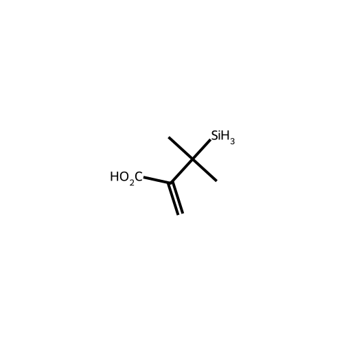 C=C(C(=O)O)C(C)(C)[SiH3]